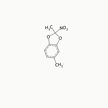 [CH2]c1ccc2c(c1)OC(C)([N+](=O)[O-])O2